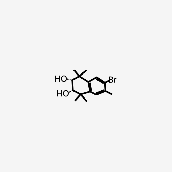 Cc1cc2c(cc1Br)C(C)(C)[C@@H](O)[C@@H](O)C2(C)C